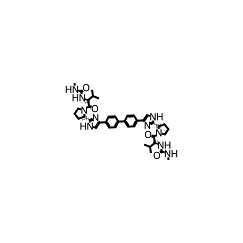 CNC(=O)N[C@H](C(=O)N1CCC[C@H]1c1nc(-c2ccc(-c3ccc(-c4c[nH]c([C@@H]5CCCN5C(=O)[C@@H](NC(=O)NC)C(C)C)n4)cc3)cc2)c[nH]1)C(C)C